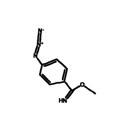 COC(=N)c1ccc(N=[N+]=[N-])cc1